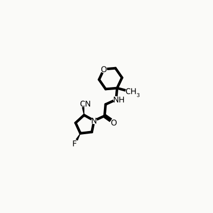 CC1(NCC(=O)N2C[C@@H](F)C[C@H]2C#N)CCOCC1